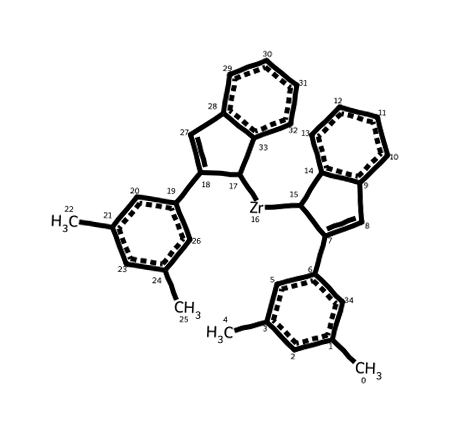 Cc1cc(C)cc(C2=Cc3ccccc3[CH]2[Zr][CH]2C(c3cc(C)cc(C)c3)=Cc3ccccc32)c1